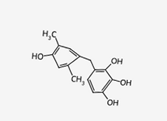 Cc1cc(Cc2ccc(O)c(O)c2O)c(C)cc1O